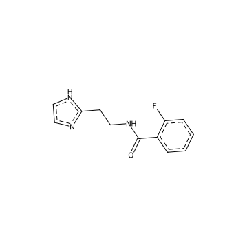 O=C(NCCc1ncc[nH]1)c1ccccc1F